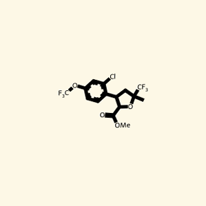 COC(=O)C1OC(C)(C(F)(F)F)CC1c1ccc(OC(F)(F)F)cc1Cl